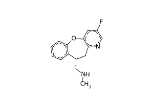 CNC[C@H]1Cc2ncc(F)cc2Oc2ccccc21